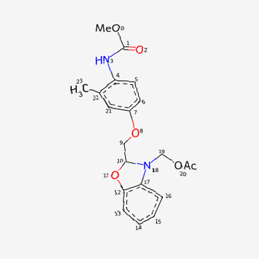 COC(=O)Nc1ccc(OCC2Oc3ccccc3N2COC(C)=O)cc1C